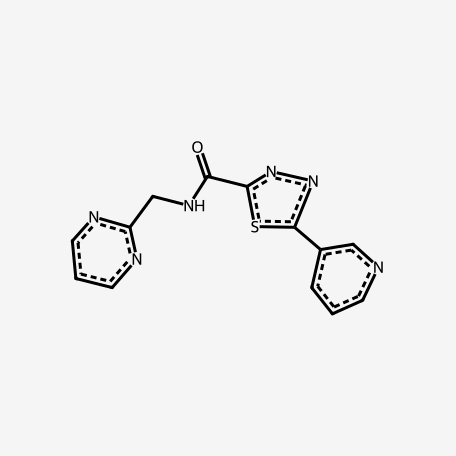 O=C(NCc1ncccn1)c1nnc(-c2cccnc2)s1